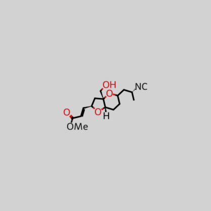 [C-]#[N+][C@H](C)CC1CC[C@@H]2O[C@@H](/C=C/C(=O)OC)C[C@]2(CO)O1